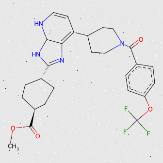 COC(=O)[C@H]1CC[C@H](C2=NC3=C(C4CCN(C(=O)c5ccc(OC(F)(F)F)cc5)CC4)C=CNC3N2)CC1